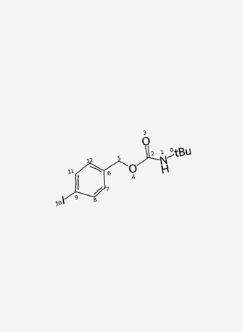 CC(C)(C)NC(=O)OCc1ccc(I)cc1